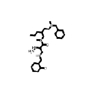 CCCC(CCN(C)CC1CCCCC1)CN(C)C(=O)C(CNCC1CCCCC1Cl)NN